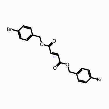 O=C(/C=C/C(=O)OCc1ccc(Br)cc1)OCc1ccc(Br)cc1